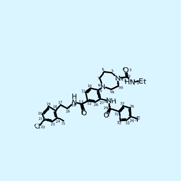 CCNC(=O)N1CCCN(c2ccc(C(=O)NCCc3ccc(Cl)cc3C)cc2NC(=O)c2ccc(F)cc2)CC1